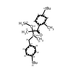 Cc1cc(C(C)(C)C)ccc1C(=O)C(C)(O[SiH3])N(C)Cc1ccc(C(C)(C)C)cc1